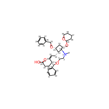 CN(CCOCc1ccccc1)[C@H]1[C@H](C/C=C\CCCC(=O)O)[C@H](OCc2ccccc2)C[C@@H]1OC1CCCCO1